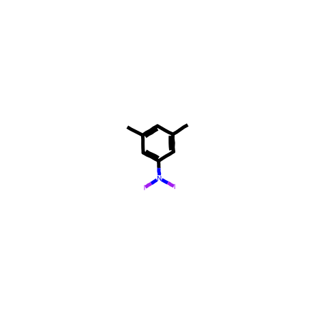 Cc1cc(C)cc(N(I)I)c1